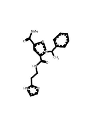 CNC(=O)c1cc(C(=O)NCCc2ncc[nH]2)n(C(C)c2ccccc2)n1